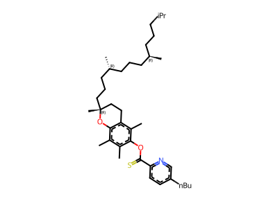 CCCCc1ccc(C(=S)Oc2c(C)c(C)c3c(c2C)CC[C@@](C)(CCC[C@H](C)CCC[C@H](C)CCCC(C)C)O3)nc1